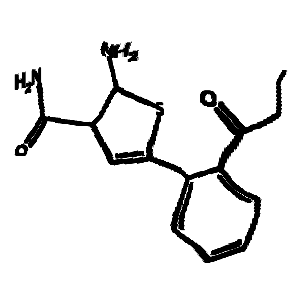 CCC(=O)c1ccccc1C1=CC(C(N)=O)C(N)S1